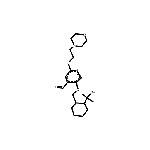 CC(C)(O)C1CCCCC1COc1cnc(OCCN2CCOCC2)cc1C=O